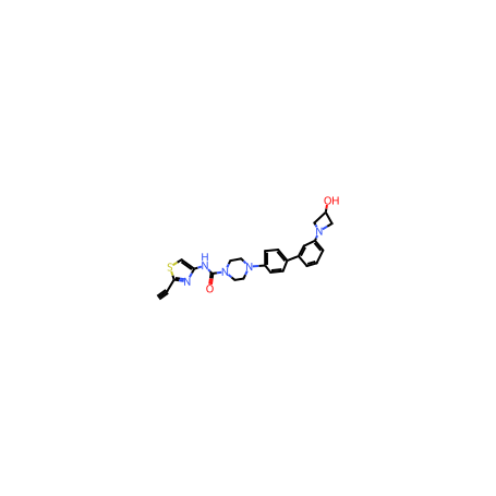 C#Cc1nc(NC(=O)N2CCN(c3ccc(-c4cccc(N5CC(O)C5)c4)cc3)CC2)cs1